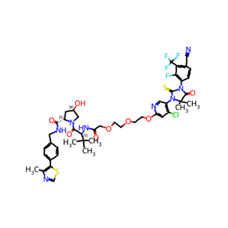 Cc1ncsc1-c1ccc(CNC(=O)[C@@H]2C[C@@H](O)CN2C(=O)[C@@H](NC(=O)COCCOCCOc2cc(Cl)c(N3C(=S)N(c4ccc(C#N)c(C(F)(F)F)c4F)C(=O)C3(C)C)cn2)C(C)(C)C)cc1